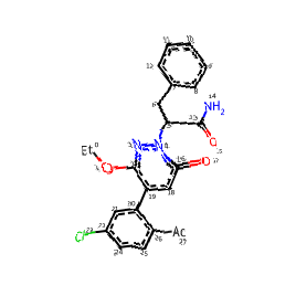 CCOc1nn(C(Cc2ccccc2)C(N)=O)c(=O)cc1-c1cc(Cl)ccc1C(C)=O